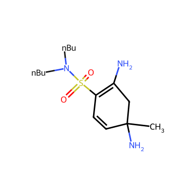 CCCCN(CCCC)S(=O)(=O)C1=C(N)CC(C)(N)C=C1